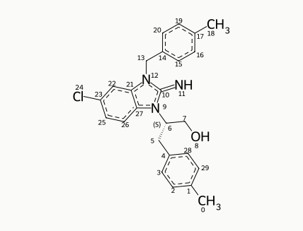 Cc1ccc(C[C@@H](CO)n2c(=N)n(Cc3ccc(C)cc3)c3cc(Cl)ccc32)cc1